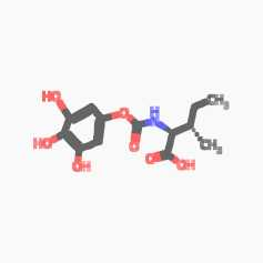 CC[C@H](C)[C@H](NC(=O)Oc1cc(O)c(O)c(O)c1)C(=O)O